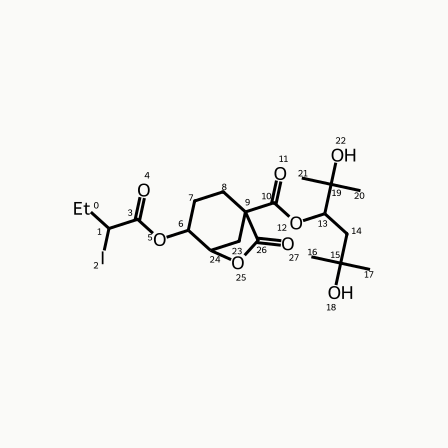 CCC(I)C(=O)OC1CCC2(C(=O)OC(CC(C)(C)O)C(C)(C)O)CC1OC2=O